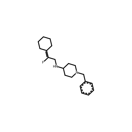 FC(CNC1CCN(Cc2ccccc2)CC1)=C1CCCCC1